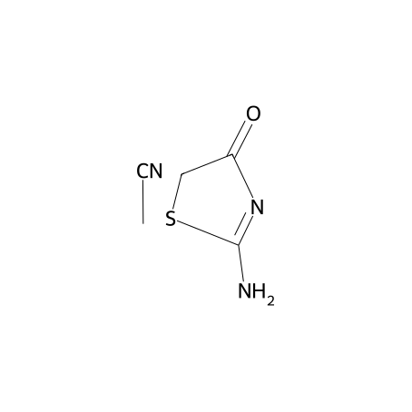 CC#N.NC1=NC(=O)CS1